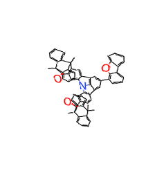 CC12C(=O)c3cc4c(cc3C(C)(c3ccccc31)c1ccccc12)c1cc(-c2cccc3c2oc2ccccc23)cc2c3cc5c(cc3n4c12)C(=O)C1(C)c2ccccc2C5(C)c2ccccc21